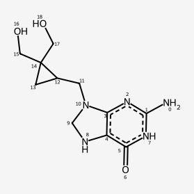 Nc1nc2c(c(=O)[nH]1)NCN2CC1CC1(CO)CO